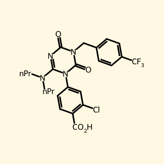 CCCN(CCC)c1nc(=O)n(Cc2ccc(C(F)(F)F)cc2)c(=O)n1-c1ccc(C(=O)O)c(Cl)c1